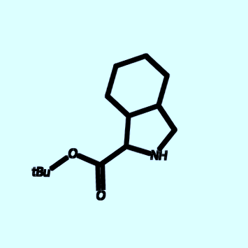 CC(C)(C)OC(=O)C1NCC2CCCCC21